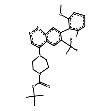 COc1cccc(F)c1-c1cc2nncc(N3CCN(C(=O)OC(C)(C)C)CC3)c2cc1C(F)(F)F